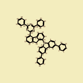 c1ccc(-c2ccc3c(c2)c2cc(-c4ccccc4)ccc2n3-c2cccc3c2Cc2cccc(-c4nc(-c5ccccc5)nc(-c5ccccc5)n4)c2-3)cc1